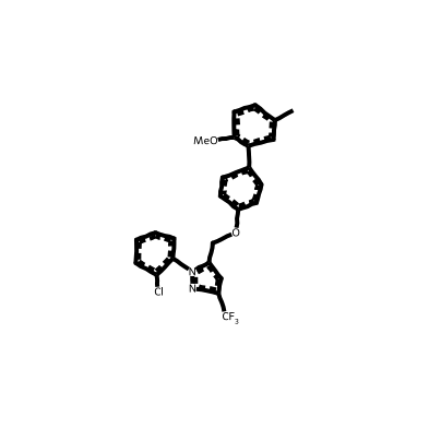 COc1ccc(C)cc1-c1ccc(OCc2cc(C(F)(F)F)nn2-c2ccccc2Cl)cc1